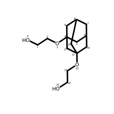 OCCOC12CC3CC(C1)CC(OCCO)(C3)C2